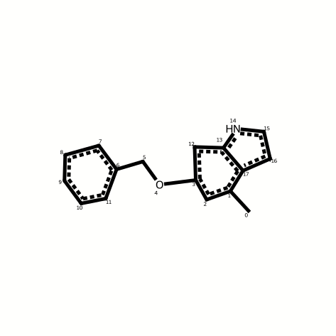 Cc1cc(OCc2ccccc2)cc2[nH]c[c]c12